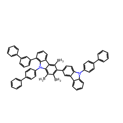 Bc1c(-c2ccc3c(c2)c2ccccc2n3-c2ccc(-c3ccccc3)cc2)c(B)c2c3cccc(-c4cccc(-c5ccccc5)c4)c3n(-c3ccc(-c4ccccc4)cc3)c2c1B